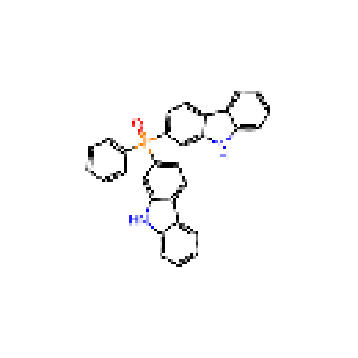 O=P(c1ccccc1)(c1ccc2c(c1)[nH]c1ccccc12)c1ccc2c(c1)[nH]c1ccccc12